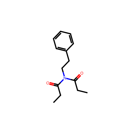 CCC(=O)N(CCc1ccccc1)C(=O)CC